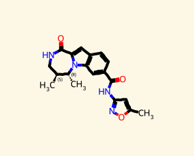 Cc1cc(NC(=O)c2ccc3cc4n(c3c2)[C@H](C)[C@@H](C)CNC4=O)no1